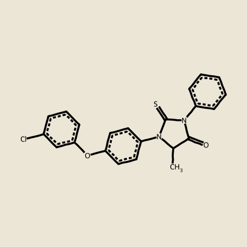 CC1C(=O)N(c2ccccc2)C(=S)N1c1ccc(Oc2cccc(Cl)c2)cc1